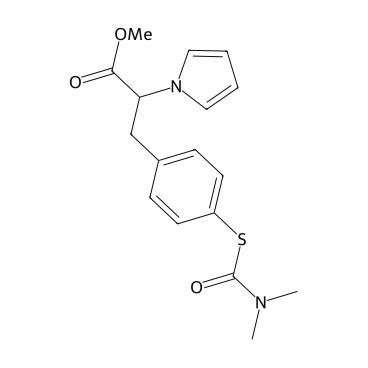 COC(=O)C(Cc1ccc(SC(=O)N(C)C)cc1)n1cccc1